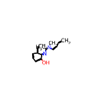 C=C/C=C\N(C)C(C)/N=C1/C(O)=CC=C/C1=C/C